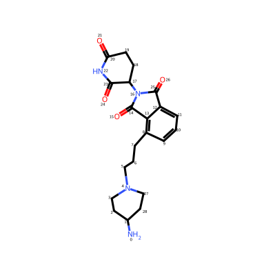 NC1CCN(CCCc2cccc3c2C(=O)N(C2CCC(=O)NC2=O)C3=O)CC1